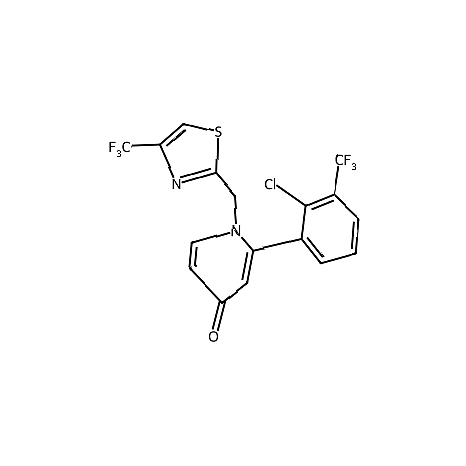 O=c1ccn(Cc2nc(C(F)(F)F)cs2)c(-c2cccc(C(F)(F)F)c2Cl)c1